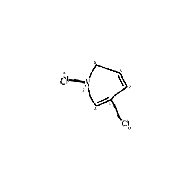 ClC1=CN(Cl)CC=C1